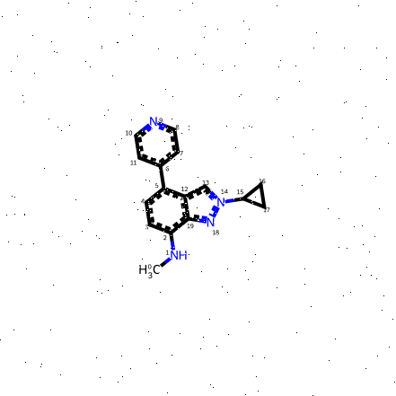 CNc1ccc(-c2ccncc2)c2cn(C3CC3)nc12